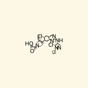 O[C@@H]1COC[C@@H]1N1CC[C@H](c2cc3nc(Nc4cnn(C56CC(C5)C6)c4Cl)ncc3cc2Cl)[C@@H](F)C1